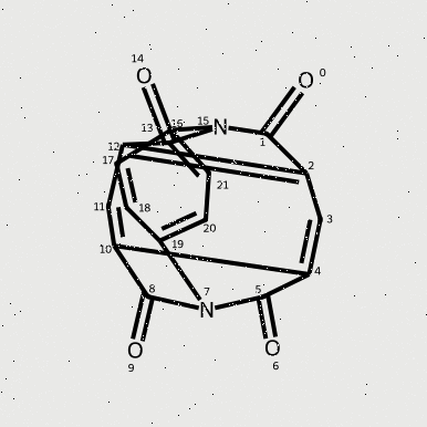 O=c1c2cc3c(=O)n4c(=O)c3cc2c(=O)n1-c1ccc-4cc1